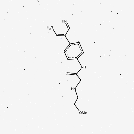 COCCNCC(=O)Nc1ccc(/C(C=N)=C/N)cc1